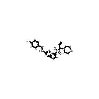 C=CC(N1CCOCC1)S(=O)(=O)c1cnc2sc(NCc3ccc(F)cc3)nn12